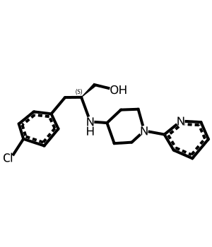 OC[C@H](Cc1ccc(Cl)cc1)NC1CCN(c2ccccn2)CC1